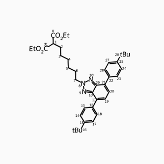 CCOC(=O)C(CCCCCCn1nc2c(-c3ccc(C(C)(C)C)cc3)ccc(-c3ccc(C(C)(C)C)cc3)c2n1)C(=O)OCC